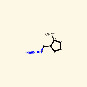 [N-]=[N+]=NC[C@@H]1CCC[C@@H]1C=O